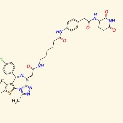 Cc1sc2c(c1C)C(c1ccc(Cl)cc1)=N[C@@H](CC(=O)NCCCCCC(=O)Nc1ccc(CC(=O)NC3CCC(=O)NC3=O)cc1)c1nnc(C)n1-2